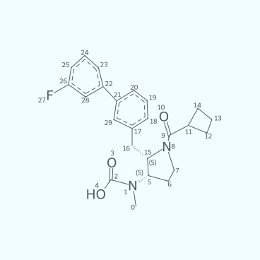 CN(C(=O)O)[C@H]1CCN(C(=O)C2CCC2)[C@H]1Cc1cccc(-c2cccc(F)c2)c1